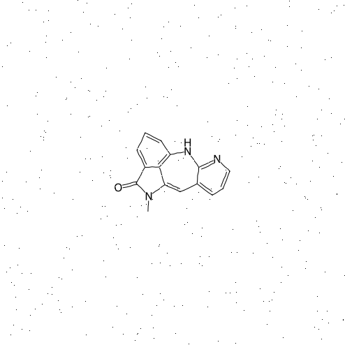 CN1C(=O)c2cccc3c2C1=Cc1cccnc1N3